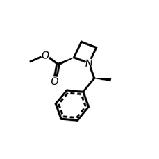 COC(=O)[C@H]1CCN1[C@@H](C)c1ccccc1